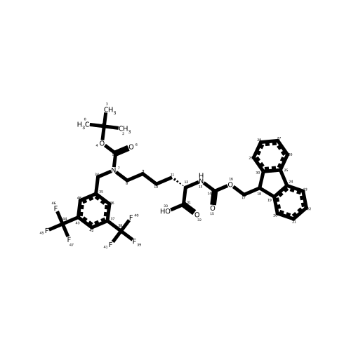 CC(C)(C)OC(=O)N(CCCC[C@H](NC(=O)OCC1c2ccccc2-c2ccccc21)C(=O)O)Cc1cc(C(F)(F)F)cc(C(F)(F)F)c1